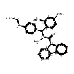 COc1ccc([C@H](c2ccc(OCC(=O)O)cc2)N(OC)C(=O)C2c3ccccc3-c3ccccc32)c(OC)c1